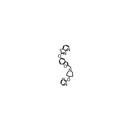 c1cnc(OC2CCN(Cc3cc4cc(Oc5nc6ncccc6s5)ccc4o3)CC2)nc1